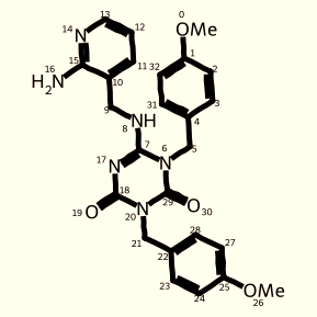 COc1ccc(Cn2c(NCc3cccnc3N)nc(=O)n(Cc3ccc(OC)cc3)c2=O)cc1